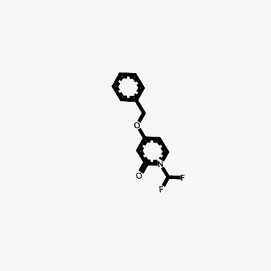 O=c1cc(OCc2ccccc2)ccn1C(F)F